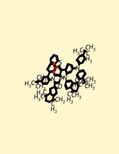 CC(C)(C)c1ccc(N(c2ccc(C(C)(C)C)cc2)c2ccc3c(c2)N(c2ccc4c(c2)C(C)(C)CCC4(C)C)B2c4oc5cc6c(cc5c4N(c4ccc(C(C)(C)C)cc4-c4ccccc4)c4cc5c(sc7ccccc75)c-3c42)C(C)(C)CCC6(C)C)cc1